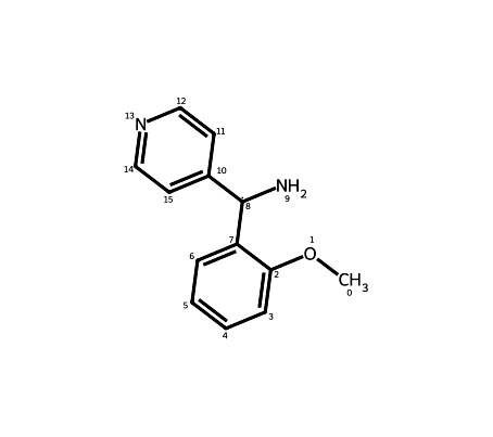 COc1ccccc1[C](N)c1ccncc1